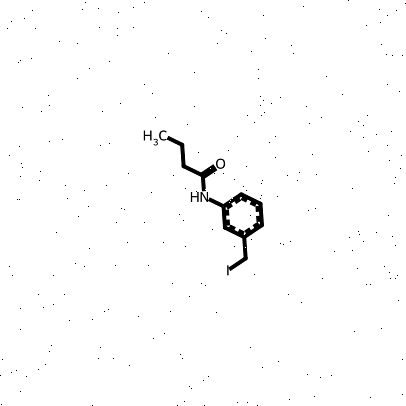 CCCC(=O)Nc1cccc(CI)c1